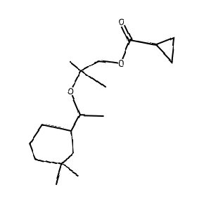 CC(OC(C)(C)COC(=O)C1CC1)C1CCCC(C)(C)C1